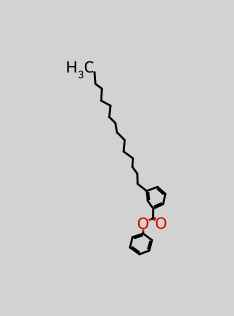 CCCCCCCCCCCCCCCc1cccc(C(=O)Oc2ccccc2)c1